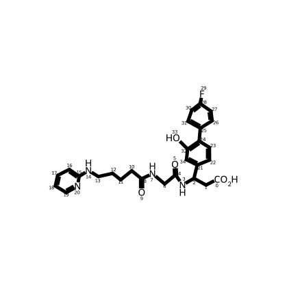 O=C(O)CC(NC(=O)CNC(=O)CCCCNc1ccccn1)c1ccc(-c2ccc(F)cc2)c(O)c1